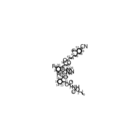 C=CCOC(=O)NCC(=O)OCc1ccccc1C(=O)O[C@@](Cn1cncn1)(c1ccc(F)cc1F)[C@@H](C)S[C@H]1CO[C@H](C=CC=Cc2ccc(C#N)cc2F)OC1